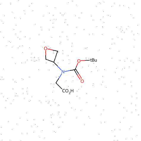 CC(C)(C)OC(=O)N(CC(=O)O)C1COC1